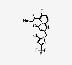 C[C@H](CC#N)c1c(F)ccc2nc(Cn3nc(C(F)(F)F)cc3Cl)cc(=O)n12